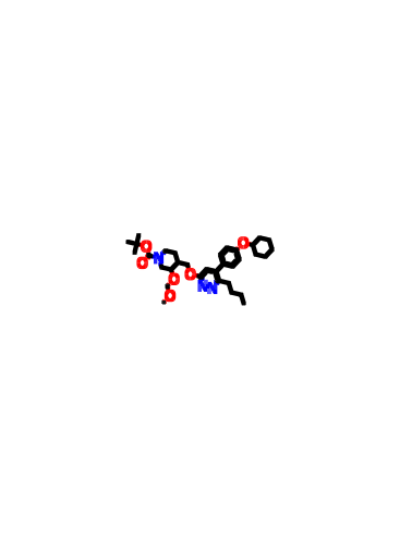 CCCCc1nnc(OCC2CCN(C(=O)OC(C)(C)C)CC2OCOC)cc1-c1ccc(OC2CCCCC2)cc1